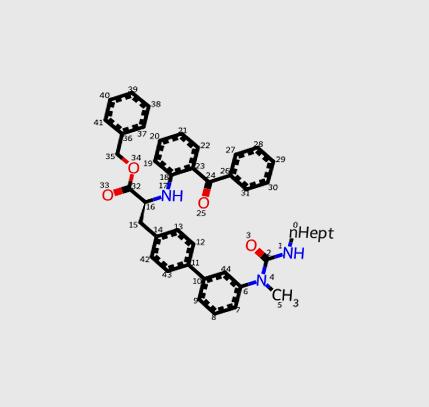 CCCCCCCNC(=O)N(C)c1cccc(-c2ccc(C[C@H](Nc3ccccc3C(=O)c3ccccc3)C(=O)OCc3ccccc3)cc2)c1